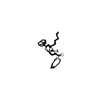 CCCCCc1cc(C23CC4CC(CC(C4)C2)C3)nc2cc(C(=O)N3CCCCCC3)nn12